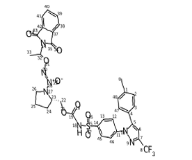 Cc1ccc(-c2cc(C(F)(F)F)nn2-c2ccc(S(=O)(=O)NC(=O)OC[C@@H]3CCCN3[N+]([O-])=NOC(C)N3C(=O)c4ccccc4C3=O)cc2)cc1